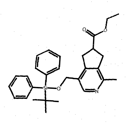 CCOC(=O)C1Cc2c(CO[Si](c3ccccc3)(c3ccccc3)C(C)(C)C)cnc(C)c2C1